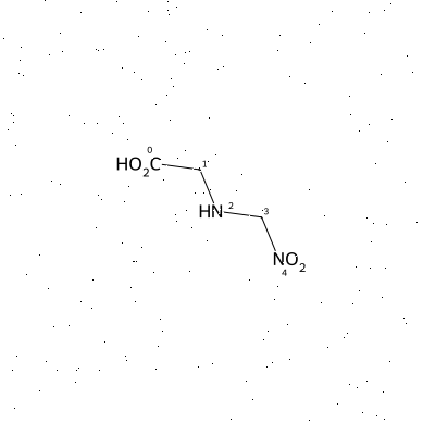 O=C(O)CNC[N+](=O)[O-]